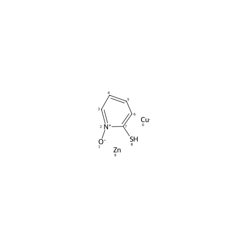 [Cu].[O-][n+]1ccccc1S.[Zn]